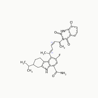 C=C(/C=C\C=C(/C)c1c(F)cc(C(N)=O)c2[nH]c3c(c12)CCC(C(C)C)C3)n1c(=O)[nH]c2c(Cl)cccc2c1=O